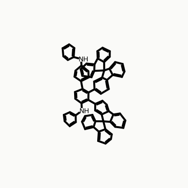 c1ccc(Nc2ccc(-c3ccc(Nc4ccccc4)c(-c4ccc5c(c4)C4(c6ccccc6-c6ccccc64)c4ccccc4-5)c3-c3ccc4c(c3)C3(c5ccccc5-c5ccccc53)c3ccccc3-4)cc2)cc1